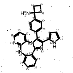 NC1(c2ccc(-c3c(-c4ccc[nH]4)nc4n3-c3cccnc3Nc3ccccc3-4)cc2)CCC1